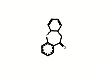 O=C1CC2C=CC=CC2Sc2ccccc21